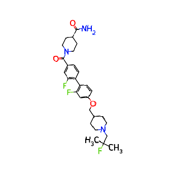 CC(C)(F)CN1CCC(COc2ccc(-c3ccc(C(=O)N4CCC(C(N)=O)CC4)cc3F)c(F)c2)CC1